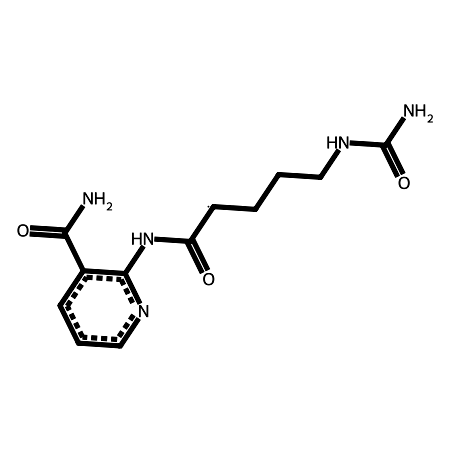 NC(=O)NCCC[CH]C(=O)Nc1ncccc1C(N)=O